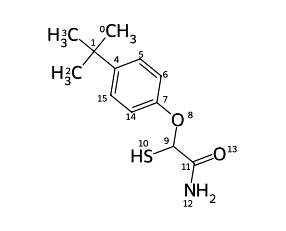 CC(C)(C)c1ccc(OC(S)C(N)=O)cc1